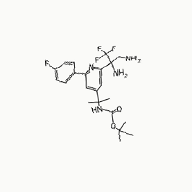 CC(C)(C)OC(=O)NC(C)(C)c1cc(-c2ccc(F)cc2)nc(C(N)(CN)C(F)(F)F)c1